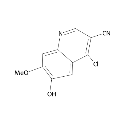 COc1cc2ncc(C#N)c(Cl)c2cc1O